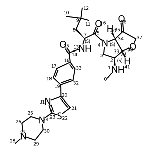 CN[C@H]1CN(C(=O)[C@H](CC(C)(C)C)NC(=O)c2ccc(-c3csc(N4CCN(C)CC4)n3)cc2)[C@@H]2C(=O)CO[C@H]12